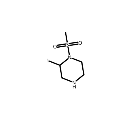 CS(=O)(=O)N1CCNCC1I